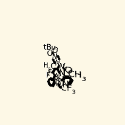 Cc1ccnc(C(C)C)c1-n1c(=O)nc(N2CCN(C(=O)OC(C)(C)C)C[C@@H]2C)c2cc(F)c(-c3c(F)cccc3OCC(F)(F)F)nc21